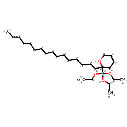 CCCCCCCCCCCCCCCCC1([Si](OCC)(OCC)OCC)CCCCO1